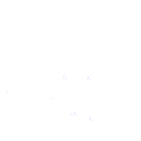 Cc1ccc(-c2nc3c(-c4ccccc4)n[nH]c3c(=O)n2Cc2ccc(Br)cc2)cc1